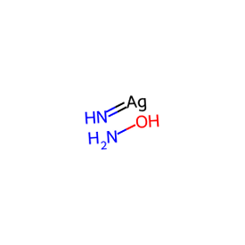 NO.[NH]=[Ag]